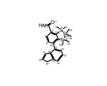 C[Si]1(C)c2c(C([NH])=O)ccc(-c3cccc4c3C=CC4)c2[Si](C)(C)[Si]1(C)C